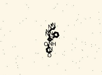 COc1ccc(C(=O)NC2CC(c3nnc(-c4ccncn4)n3-c3ccccc3Cl)C2)nc1